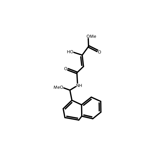 COC(=O)/C(O)=C/C(=O)NC(OC)c1cccc2ccccc12